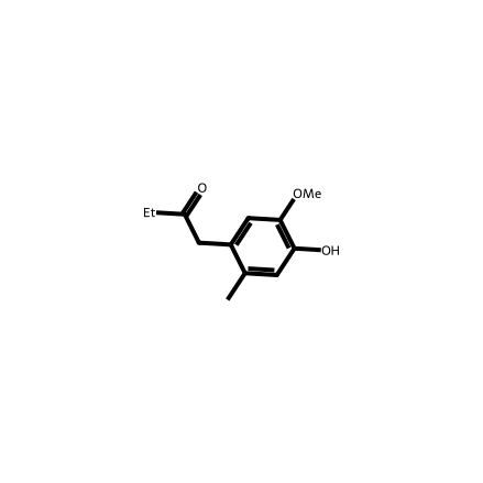 CCC(=O)Cc1cc(OC)c(O)cc1C